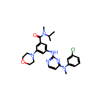 CC(C)N(C)C(=O)c1cc(Nc2nccc(N(C)c3cccc(Cl)c3)n2)cc(N2CCOCC2)c1